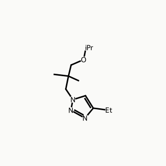 CCc1cn(CC(C)(C)COC(C)C)nn1